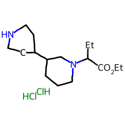 CCOC(=O)C(CC)N1CCCC(C2CCNCC2)C1.Cl.Cl